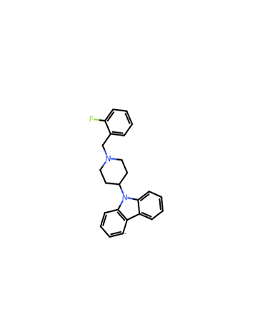 Fc1ccccc1CN1CCC(n2c3ccc[c]c3c3ccccc32)CC1